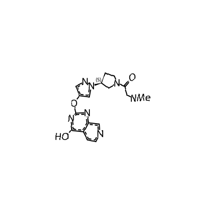 CNCC(=O)N1CC[C@H](n2cc(Oc3nc(O)c4ccncc4n3)cn2)C1